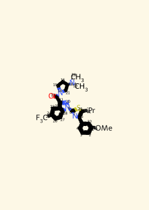 COc1cccc(-c2nc(-n3nc(C(=O)N4CC[C@@H](N(C)C)C4)c4cc(C(F)(F)F)ccc43)sc2C(C)C)c1